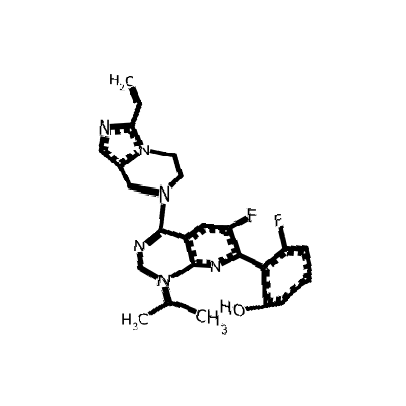 C=Cc1ncc2n1CCN(C1=NCN(C(C)C)c3nc(-c4c(O)cccc4F)c(F)cc31)C2